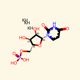 O=c1ccn([C@@H]2O[C@H](COP(=O)(O)O)[C@@H](O)[C@H]2O)c(=O)[nH]1.[KH].[KH].[KH]